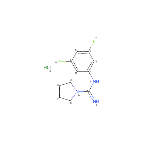 Cl.N=C(Nc1cc(F)cc(F)c1)N1CCCC1